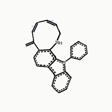 C=C1/C=C\C=C/CNc2c1ccc1c3ccccc3n(-c3ccccc3)c21